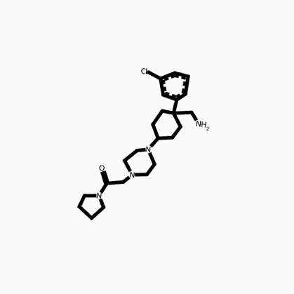 NCC1(c2cccc(Cl)c2)CCC(N2CCN(CC(=O)N3CCCC3)CC2)CC1